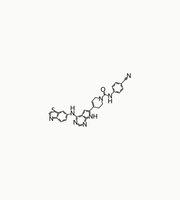 N#Cc1ccc(NC(=O)N2CC=C(c3cc4c(Nc5ccc6ncsc6c5)ncnc4[nH]3)CC2)cc1